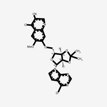 COc1cc2c(Cl)c(C#N)cnc2cc1OC[C@H]1O[C@@H](n2ccc3c(Cl)ncnc32)[C@@H]2OC(C)(C)O[C@@H]21